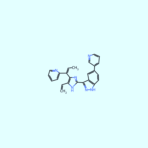 C=Cc1[nH]c(-c2n[nH]c3ccc(-c4cccnc4)cc23)nc1/C(=C\C)c1ccccn1